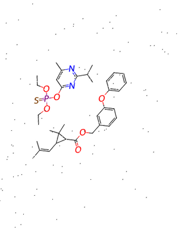 CC(C)=CC1C(C(=O)OCc2cccc(Oc3ccccc3)c2)C1(C)C.CCOP(=S)(OCC)Oc1cc(C)nc(C(C)C)n1